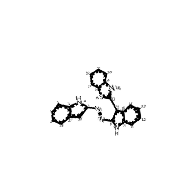 c1ccc2[nH]c(N=Nc3[nH]c4ccccc4c3-c3nc4ccccc4s3)cc2c1